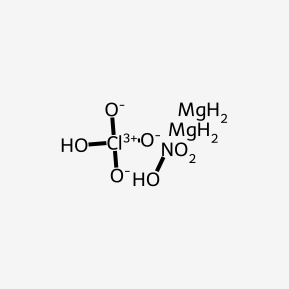 O=[N+]([O-])O.[MgH2].[MgH2].[O-][Cl+3]([O-])([O-])O